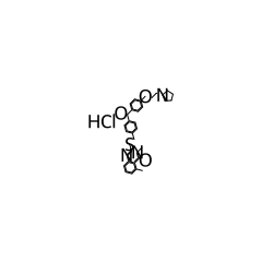 Cc1cccc2nc(SCc3ccc(C(=O)c4ccc(OCCN5CCCC5)cc4)cc3)n(C)c(=O)c12.Cl